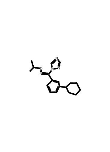 CC(C)ON=C(c1cccc(C2CCCCC2)c1)n1cncn1